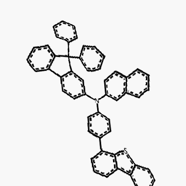 c1ccc(C2(c3ccccc3)c3ccccc3-c3ccc(N(c4ccc(-c5cccc6c5sc5ccccc56)cc4)c4ccc5ccccc5c4)cc32)cc1